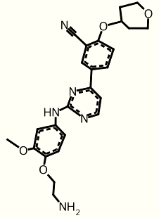 COc1cc(Nc2nccc(-c3ccc(OC4CCOCC4)c(C#N)c3)n2)ccc1OCCN